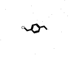 [CH2]Cc1ccc(CCl)cc1